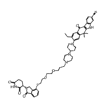 CCc1cc2c(cc1N1CCC(N3CCN(CCCOCCOCCSc4cccc5c4CN(C4CCC(=O)NC4=O)C5=O)CC3)CC1)C(C)(C)c1[nH]c3cc(C#N)ccc3c1C2=O